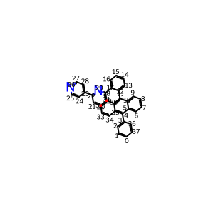 c1ccc(-c2c3ccccc3c(-c3ccccc3-c3cccc(-c4ccncc4)n3)c3ccccc23)cc1